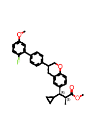 COC(=O)[C@@H](C)[C@H](c1ccc2c(c1)CC(c1ccc(-c3cc(OC)ccc3F)cc1)CO2)C1CC1